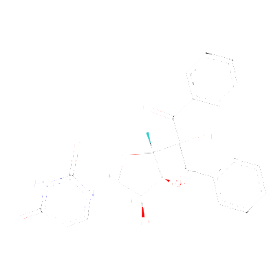 O=C(c1ccccc1)C(O)(C(=O)c1ccccc1)[C@@]1(F)O[C@@H](n2ccc(=O)[nH]c2=O)[C@H](O)[C@@H]1O